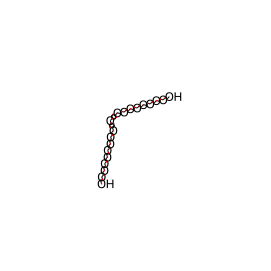 OCCOCCOCCOCCOCCOCCOCCOCCOc1ccc(Oc2ccc(OCCOCCOCCOCCOCCOCCOCCOCCO)cc2)cc1